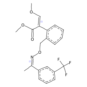 CO/C=C(\C(=O)OC)c1ccccc1CO/N=C(/C)c1cccc(C(F)(F)F)c1